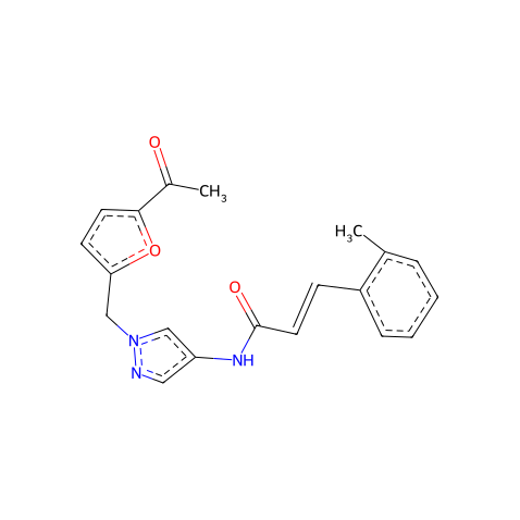 CC(=O)c1ccc(Cn2cc(NC(=O)/C=C/c3ccccc3C)cn2)o1